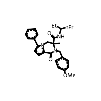 CCCC(CC)NC(=O)C1(C)Cn2c(ccc2-c2ccccc2)C(=O)N1Cc1ccc(OC)cc1